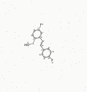 OCc1ccc(F)cc1C=Cc1ccc(F)cc1